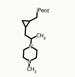 CCCC(C)CC1CC1CC(C)N1CCN(C)CC1